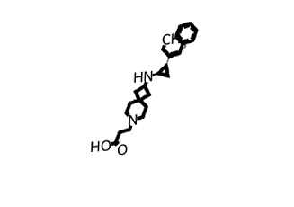 CC/C(=C\c1ccccc1)[C@@H]1C[C@H]1NC1CC2(CCN(CCC(=O)O)CC2)C1